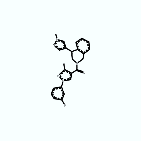 Cc1nn(-c2cccc(F)c2)cc1C(=O)N1Cc2ccccc2C(c2cnn(C)c2)C1